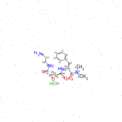 CN(C)C(=O)[C@H](Cc1ccccc1)NC(=O)[C@H]1O[C@@H]1C(=O)NCCN.Cl